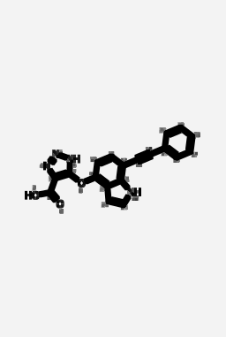 O=C(O)c1nn[nH]c1Oc1ccc(C#Cc2ccccc2)c2[nH]ccc12